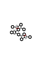 c1ccc(-c2nnc(-c3ccccc3N(c3ccccc3)c3ccc(-c4nc5ccccc5nc4-c4ccc(N(c5ccccc5)c5ccccc5-c5nnc(-c6ccccc6)o5)cc4)cc3)o2)cc1